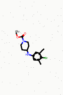 Cc1cc(NC2CCN(C(=O)OC(C)(C)C)CC2)cc(C)c1Br